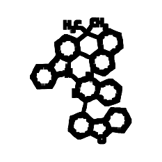 CC1(C)c2ccc3c4ccccc4n(-c4nc(-c5cccc6oc7ccccc7c56)c5ccccc5n4)c3c2-c2cccc3cccc1c23